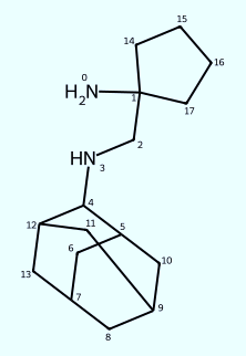 NC1(CNC2C3CC4CC(C3)CC2C4)CCCC1